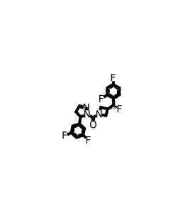 O=C(N1CC([C@H](F)c2ccc(F)cc2F)C1)N1N=CCC1c1cc(F)cc(F)c1